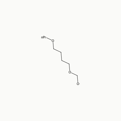 CCCOCCCCOC[O]